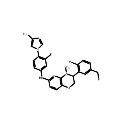 Cc1cn(-c2ccc(Nc3ncc4c(n3)N(C)C(c3cc(CF)ccc3Cl)CO4)cc2F)cn1